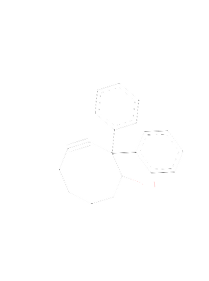 OC1CCCCC#CC1(c1ccccc1)c1ccccc1